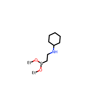 CCO[Si](CCNC1CCCCC1)OCC